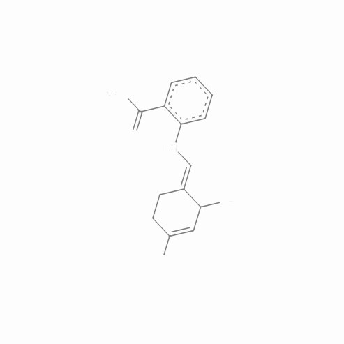 COC(=O)c1ccccc1N/C=C1\CCC(C)=CC1C